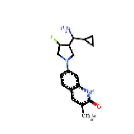 NC(C1CC1)C1CN(c2ccc3cc(C(=O)O)c(=O)[nH]c3c2)CC1F